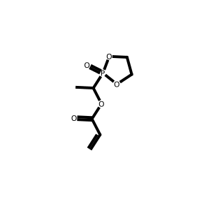 C=CC(=O)OC(C)P1(=O)OCCO1